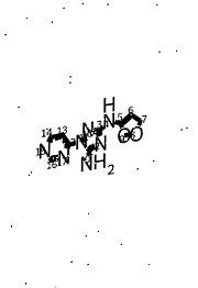 Nc1nc(NC2=CCOO2)nn1-c1ccncn1